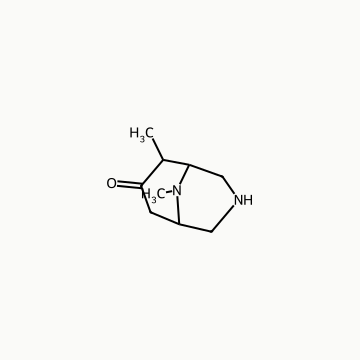 CC1C(=O)CC2CNCC1N2C